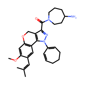 COc1cc2c(cc1C=C(C)C)-c1c(c(C(=O)N3CCCC(N)CC3)nn1C1=CCCCC=C1)CO2